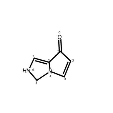 O=C1C=CN2CNC=C12